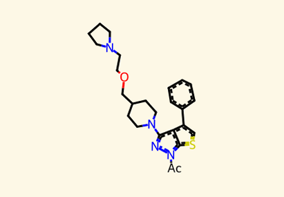 CC(=O)n1nc(N2CCC(COCCN3CCCC3)CC2)c2c(-c3ccccc3)csc21